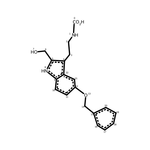 O=C(O)NCCc1c(CO)[nH]c2ccc(OCc3ccccc3)cc12